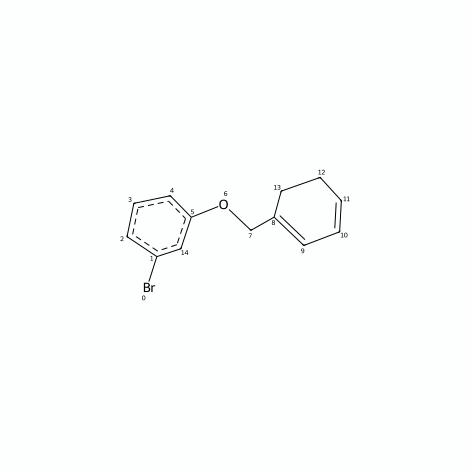 Brc1cccc(OCC2=CC=CCC2)c1